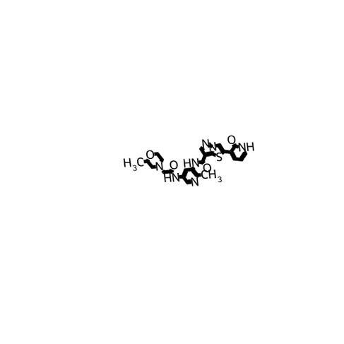 Cc1ncc(NC(=O)CN2CCOC(C)C2)cc1NC(=O)c1cnn2cc(-c3ccc[nH]c3=O)sc12